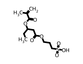 C=C(C)C(=O)OC(CC)CC(=O)OCCCS(=O)(=O)O